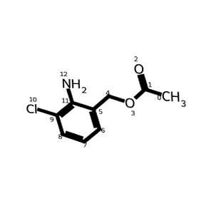 CC(=O)OCc1cccc(Cl)c1N